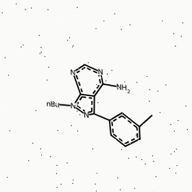 CCCCn1nc(-c2cccc(C)c2)c2c(N)ncnc21